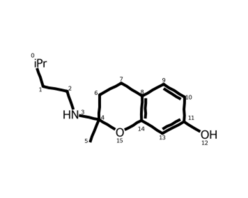 CC(C)CCNC1(C)CCc2ccc(O)cc2O1